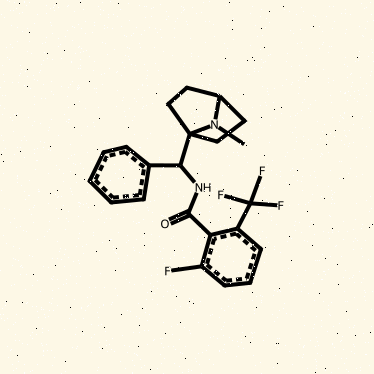 CN1C2CCC1(C(NC(=O)c1c(F)cccc1C(F)(F)F)c1ccccc1)CC2